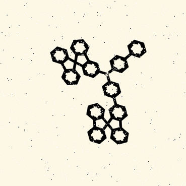 c1ccc(-c2ccc(N(c3ccc(-c4ccc5c(c4)C4(c6ccccc6-c6ccccc64)c4ccccc4-5)cc3)c3ccc4c(c3)-c3ccccc3C43c4ccccc4-c4ccccc43)cc2)cc1